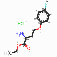 CCOC(=O)[C@@H](N)CCOc1ccc(F)cc1.Cl